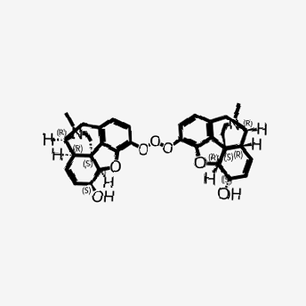 CN1CC[C@]23c4c5ccc(OOOc6ccc7c8c6O[C@H]6[C@@H](O)C=C[C@H]9[C@@H](C7)N(C)CC[C@@]896)c4O[C@H]2[C@@H](O)C=C[C@H]3[C@H]1C5